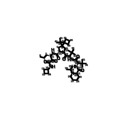 CCC[C@H](NC(=O)[C@@H]1C[C@@]2(CN1C(=O)[C@@H](NC(=O)[C@@H](NC(=O)[C@H]1CCCCN1C(C)C)C(C)(C)C)C(C)(C)C)C(C)(C)C21CCC1)C(=O)C(=O)NC1CCC1